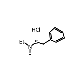 CCN(F)SCc1ccccc1.Cl